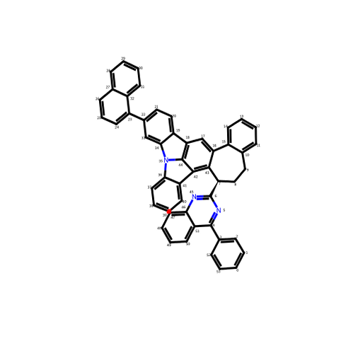 c1ccc(-c2nc([C@@H]3CCc4ccccc4-c4cc5c6ccc(-c7cccc8ccccc78)cc6n6c7ccccc7c(c43)c56)nc3ccccc23)cc1